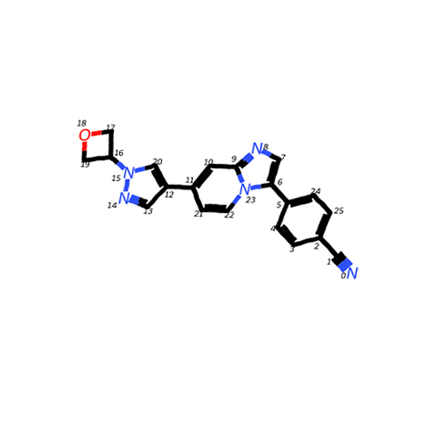 N#Cc1ccc(-c2cnc3cc(-c4cnn(C5COC5)c4)ccn23)cc1